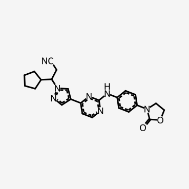 N#CCC(C1CCCC1)n1cc(-c2ccnc(Nc3ccc(N4CCOC4=O)cc3)n2)cn1